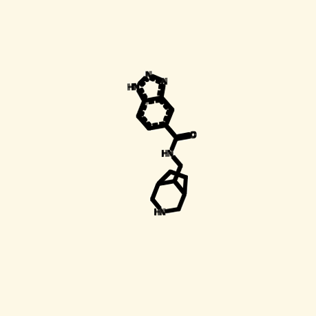 O=C(NCC1C2CCC1CNC2)c1ccc2[nH]nnc2c1